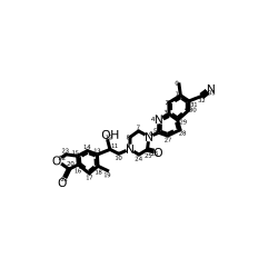 Cc1cc2nc(N3CCN(CC(O)c4cc5c(cc4C)C(=O)OC5)CC3=O)ccc2cc1C#N